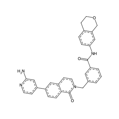 Nc1cc(-c2ccc3c(=O)n(Cc4cccc(C(=O)Nc5ccc6c(c5)COCC6)c4)ccc3c2)ccn1